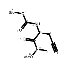 C#CC[C@H](NC(=O)OC(C)(C)C)C(=O)N(C)OC